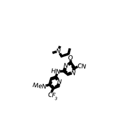 CNc1cc(Nc2cnc(C#N)c(OC(C)CN(C)C)n2)ncc1C(F)(F)F